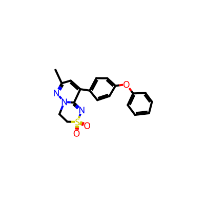 CC1=NN2CCS(=O)(=O)N=C2C(c2ccc(Oc3ccccc3)cc2)=C1